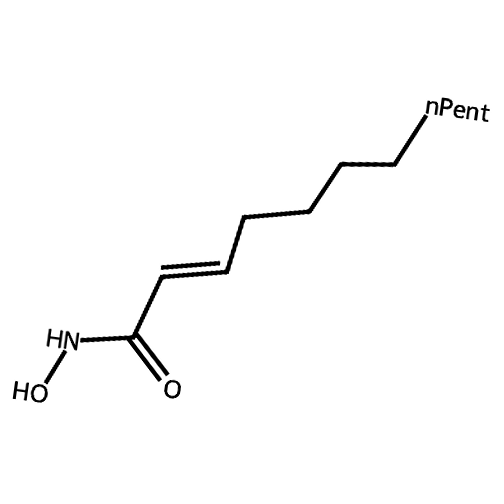 CCCCCCCCCC=CC(=O)NO